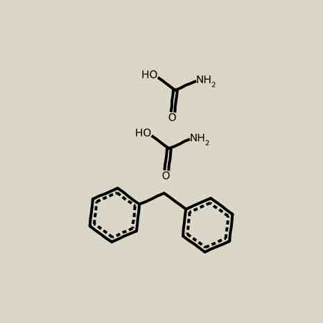 NC(=O)O.NC(=O)O.c1ccc(Cc2ccccc2)cc1